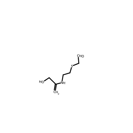 C=C(CO)NCCSCC=O